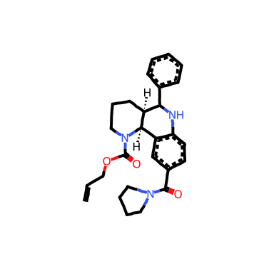 C=CCOC(=O)N1CCC[C@H]2C(c3ccccc3)Nc3ccc(C(=O)N4CCCC4)cc3[C@H]21